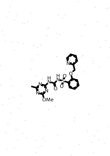 COc1nc(C)nc(NC(=O)NS(=O)(=O)c2ccccc2OCc2ccccn2)n1